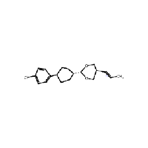 C/C=C/[C@H]1CO[C@H](C2CCC(c3ccc(Cl)cc3)CC2)OC1